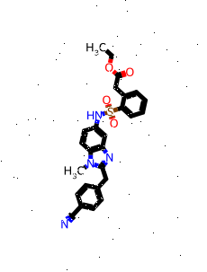 CCOC(=O)Cc1ccccc1S(=O)(=O)Nc1ccc2c(c1)nc(Cc1ccc(C#N)cc1)n2C